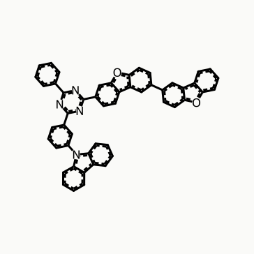 c1ccc(-c2nc(-c3cccc(-n4c5ccccc5c5ccccc54)c3)nc(-c3ccc4c(c3)oc3ccc(-c5ccc6oc7ccccc7c6c5)cc34)n2)cc1